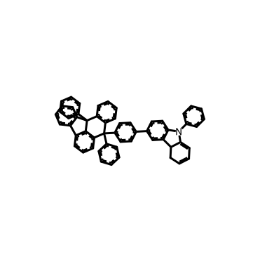 C1=CCC2C(=C1)N(c1ccccc1)c1ccc(-c3ccc(C4(c5ccccc5)c5ccccc5C5(c6ccccc6)c6ccccc6-c6cccc4c65)cc3)cc12